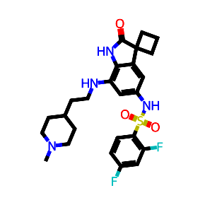 CN1CCC(CCNc2cc(NS(=O)(=O)c3ccc(F)cc3F)cc3c2NC(=O)C32CCC2)CC1